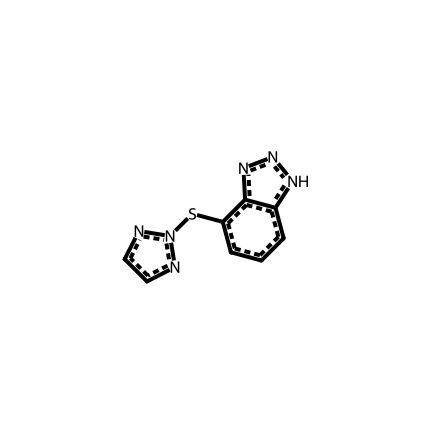 c1cc(Sn2nccn2)c2nn[nH]c2c1